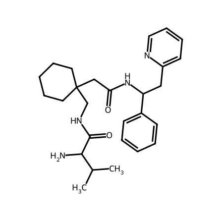 CC(C)C(N)C(=O)NCC1(CC(=O)NC(Cc2ccccn2)c2ccccc2)CCCCC1